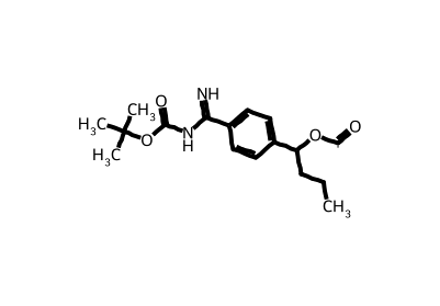 CCCC(O[C]=O)c1ccc(C(=N)NC(=O)OC(C)(C)C)cc1